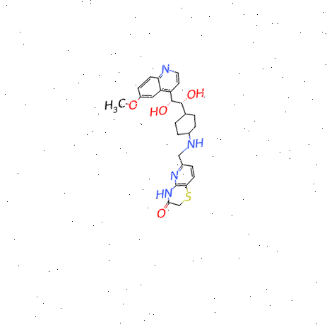 COc1ccc2nccc([C@@H](O)[C@H](O)C3CCC(NCc4ccc5c(n4)NC(=O)CS5)CC3)c2c1